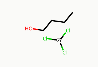 CCCCO.[Cl][Zr]([Cl])[Cl]